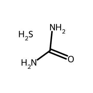 NC(N)=O.S